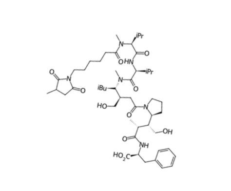 CC[C@H](C)[C@@H]([C@H](CO)CC(=O)N1CCC[C@H]1[C@H](CO)[C@@H](C)C(=O)N[C@@H](Cc1ccccc1)C(=O)O)N(C)C(=O)[C@@H](NC(=O)[C@H](C(C)C)N(C)C(=O)CCCCCN1C(=O)CC(C)C1=O)C(C)C